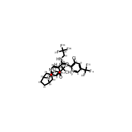 CC(C)(Oc1ncc(C(F)(F)F)cc1Cl)C(=O)NC1CC2CCC(C1)N2c1ccc(C(=O)NCC(F)(F)F)cn1